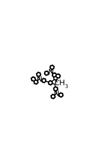 CC1=C(c2cc(-c3ccc(N(c4ccccc4)c4cccc5ccccc45)cc3)ccc2Cc2ccc(N(c3ccccc3)c3ccccc3)cc2)c2cc(N(c3ccccc3)c3ccccc3)cc3cccc1c23